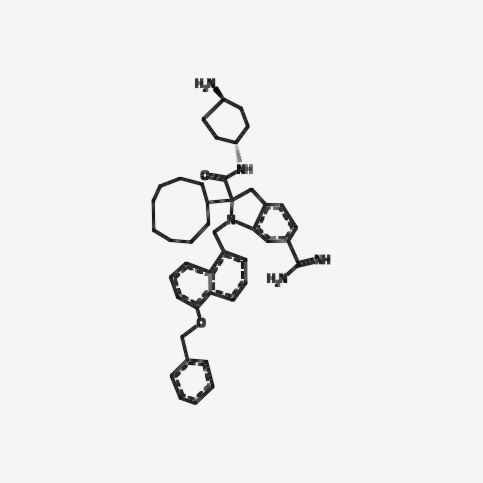 N=C(N)c1ccc2c(c1)N(Cc1cccc3c(OCc4ccccc4)cccc13)C(C(=O)N[C@H]1CC[C@H](N)CC1)(C1CCCCCCCC1)C2